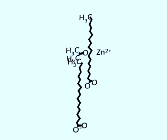 CC(C)=O.CCCCCCCCCCCCCCCCCC(=O)[O-].CCCCCCCCCCCCCCCCCC(=O)[O-].[Zn+2]